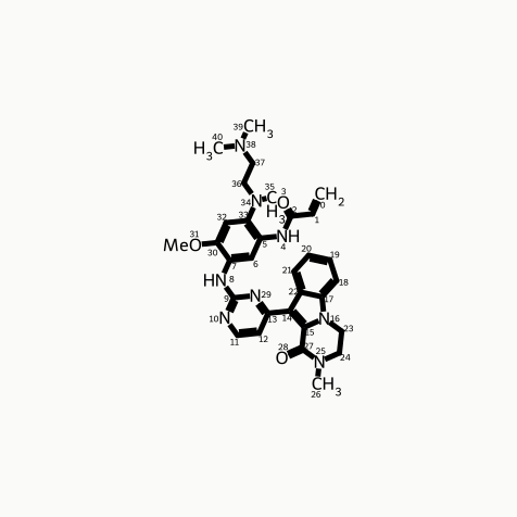 C=CC(=O)Nc1cc(Nc2nccc(-c3c4n(c5ccccc35)CCN(C)C4=O)n2)c(OC)cc1N(C)CCN(C)C